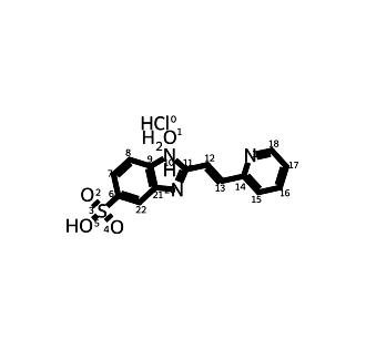 Cl.O.O=S(=O)(O)c1ccc2[nH]c(C=Cc3ccccn3)nc2c1